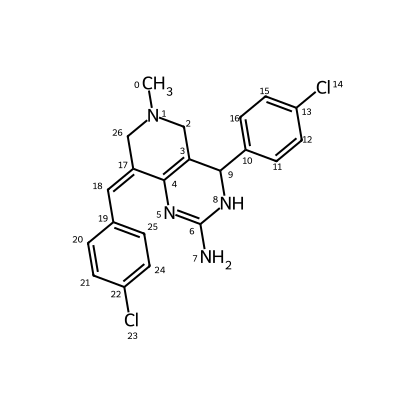 CN1CC2=C(N=C(N)NC2c2ccc(Cl)cc2)/C(=C\c2ccc(Cl)cc2)C1